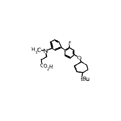 CN(CCC(=O)O)c1cccc(-c2ccc(OC3CCC(C(C)(C)C)CC3)cc2F)c1